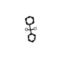 [O]C(Cl)(c1ccccc1)c1ccccc1